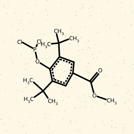 COC(=O)c1cc(C(C)(C)C)c(OP(Cl)Cl)c(C(C)(C)C)c1